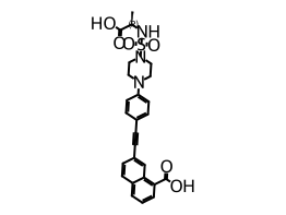 C[C@@H](NS(=O)(=O)N1CCN(c2ccc(C#Cc3ccc4cccc(C(=O)O)c4c3)cc2)CC1)C(=O)O